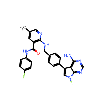 Nc1ncnc2c1c(-c1ccc(CNc3ncc(C(F)(F)F)cc3C(=O)Nc3ccc(F)cc3)cc1)cn2F